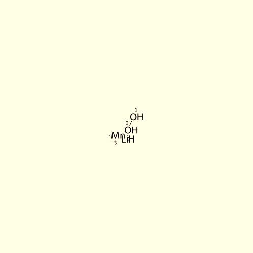 OO.[LiH].[Mn]